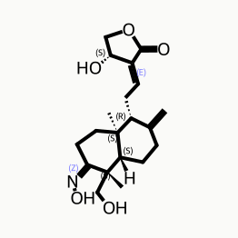 C=C1CC[C@H]2[C@@](C)(CC/C(=N/O)[C@@]2(C)CO)[C@@H]1C/C=C1/C(=O)OC[C@H]1O